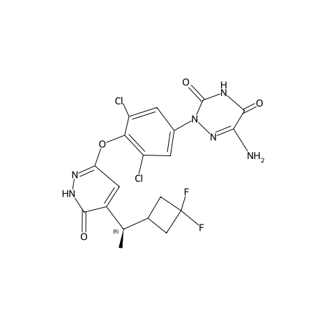 C[C@@H](c1cc(Oc2c(Cl)cc(-n3nc(N)c(=O)[nH]c3=O)cc2Cl)n[nH]c1=O)C1CC(F)(F)C1